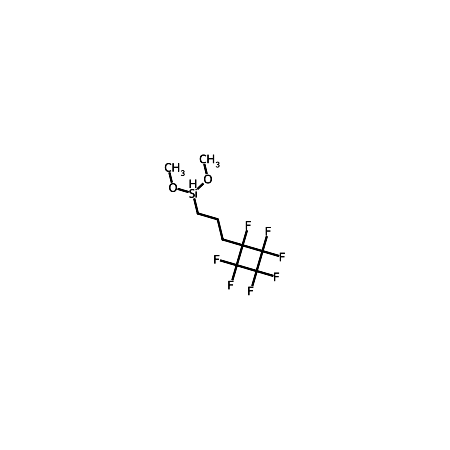 CO[SiH](CCCC1(F)C(F)(F)C(F)(F)C1(F)F)OC